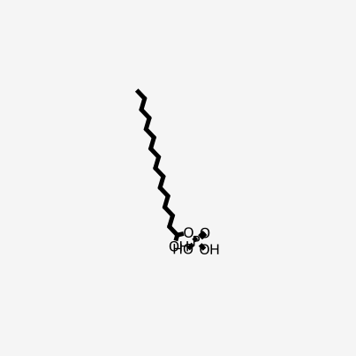 CCCCCCCCCCCCCCCC(O)OP(=O)(O)O